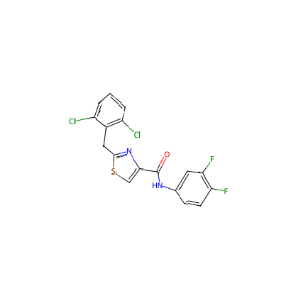 O=C(Nc1ccc(F)c(F)c1)c1csc(Cc2c(Cl)cccc2Cl)n1